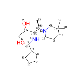 CC(O)[C@@H](N[C@@H](O)C1CCCC1)[C@@H](C)N1CCCC(C)(C)C1